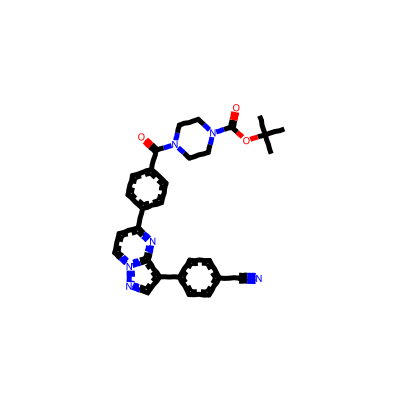 CC(C)(C)OC(=O)N1CCN(C(=O)c2ccc(-c3ccn4ncc(-c5ccc(C#N)cc5)c4n3)cc2)CC1